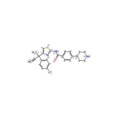 C#CC(C)(c1ccc(Cl)cc1)c1csc(NC(=O)c2ccc(N3CCNCC3)cc2)n1